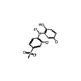 CCN(c1cc(Cl)ccc1O)c1ccc(S(C)(=O)=O)cc1Cl